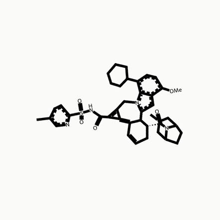 COc1ccc(C2CCCCC2)c2c1cc1n2CC2=C(C(=O)NS(=O)(=O)c3ccc(C)cn3)C2=C2C=CC[C@@H](C(=O)N3C4CCC3CN(C)C4)C21